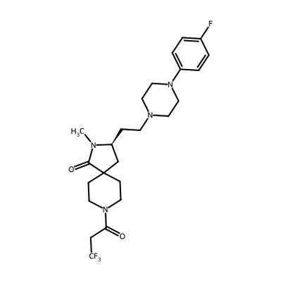 CN1C(=O)C2(CCN(C(=O)CC(F)(F)F)CC2)C[C@@H]1CCN1CCN(c2ccc(F)cc2)CC1